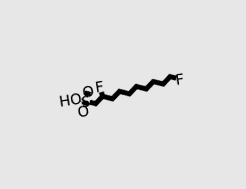 O=S(=O)(O)CC(F)CCCCCCCCF